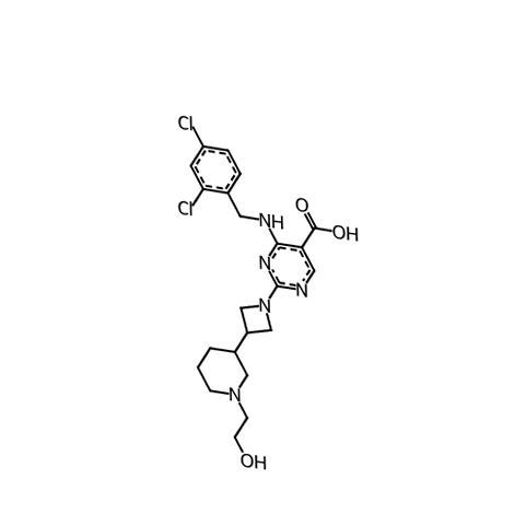 O=C(O)c1cnc(N2CC(C3CCCN(CCO)C3)C2)nc1NCc1ccc(Cl)cc1Cl